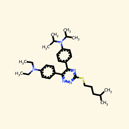 CCN(CC)c1ccc(-c2nnc(SCCCC(C)C)nc2-c2ccc(N(C(C)C)C(C)C)cc2)cc1